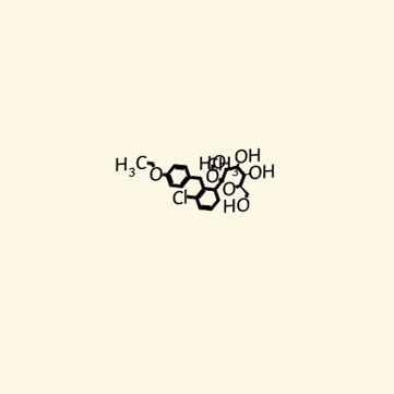 CCOc1ccc(CC2=C(Cl)C=CCC2C2(OC)O[C@H](CO)[C@@H](O)[C@H](O)[C@H]2O)cc1